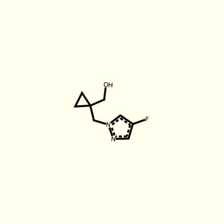 OCC1(Cn2cc(F)cn2)CC1